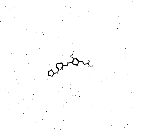 COc1cc(CCC(=O)O)ccc1OCc1cccc(SC2CCCC2)n1